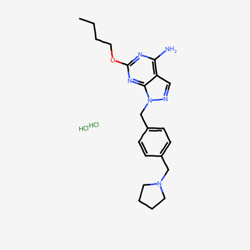 CCCCOc1nc(N)c2cnn(Cc3ccc(CN4CCCC4)cc3)c2n1.Cl.Cl